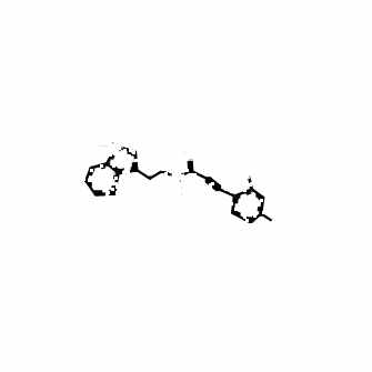 O=C(C#Cc1ccc(Cl)cc1Cl)NCCc1c[nH]c2ccccc12